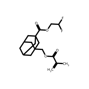 C=C(C)C(=O)OCC12CC3CC(C1)CC(C(=O)OCC(F)F)(C3)C2